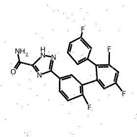 NC(=O)c1nc(-c2ccc(F)c(-c3cc(F)cc(F)c3-c3cccc(F)c3)c2)n[nH]1